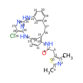 Cc1nc(C)c(CC(=O)Nc2ccc3cc2CCc2cccc(c2)Nc2ncc(Cl)c(n2)N3)s1